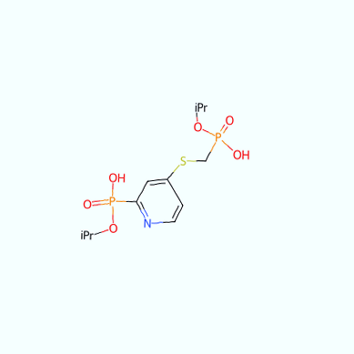 CC(C)OP(=O)(O)CSc1ccnc(P(=O)(O)OC(C)C)c1